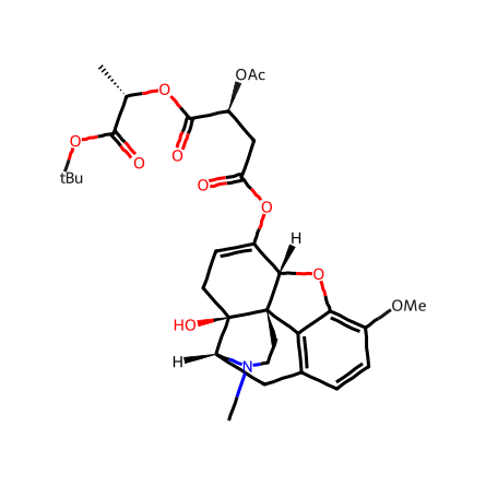 COc1ccc2c3c1O[C@H]1C(OC(=O)C[C@H](OC(C)=O)C(=O)O[C@@H](C)C(=O)OC(C)(C)C)=CC[C@@]4(O)[C@@H](C2)N(C)CC[C@]314